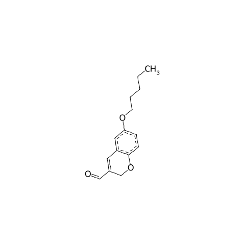 CCCCCOc1ccc2c(c1)C=C(C=O)CO2